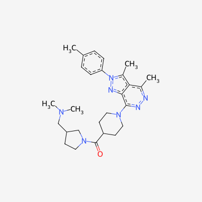 Cc1ccc(-n2nc3c(N4CCC(C(=O)N5CCC(CN(C)C)C5)CC4)nnc(C)c3c2C)cc1